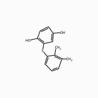 Cc1cccc(Sc2cc(O)ccc2O)c1C